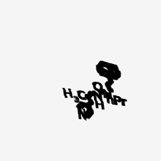 CCCN(CCCC12CC3CC(CC(C3)C1)C2)C(=O)NCC(C)Cc1ccncc1